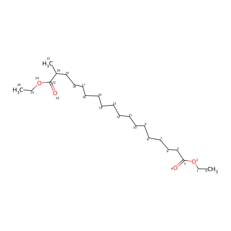 CCOC(=O)CCCCCCCCCCCCCCCC(C)C(=O)OCC